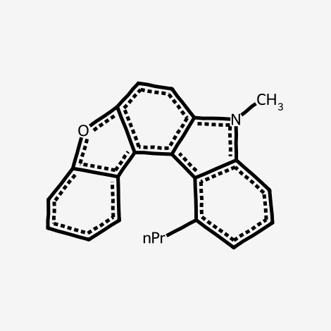 CCCc1cccc2c1c1c3c(ccc1n2C)oc1ccccc13